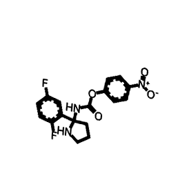 O=C(NC1(c2cc(F)ccc2F)CCCN1)Oc1ccc([N+](=O)[O-])cc1